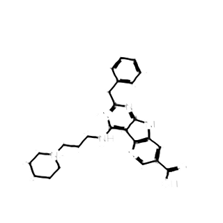 O=C(O)c1cnc2c(c1)[nH]c1nc(Cc3ccccc3)nc(NCCCN3CCCCC3)c12